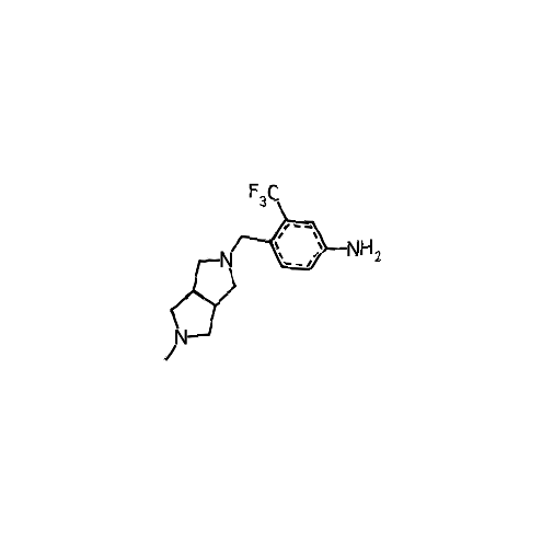 CN1CC2CN(Cc3ccc(N)cc3C(F)(F)F)CC2C1